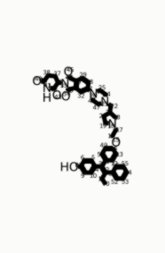 CCC(=C(c1ccc(O)cc1)c1ccc(OCCN2CCC(CN3CCN(c4ccc5c(c4)C(=O)N(C4CCC(=O)NC4=O)C5=O)CC3)C2)cc1)c1ccccc1